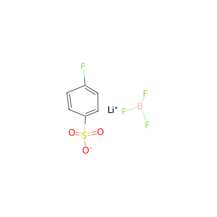 FB(F)F.O=S(=O)([O-])c1ccc(F)cc1.[Li+]